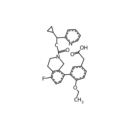 CCOc1ccc(CC(=O)O)cc1-c1ccc(F)c2c1CN(C(=O)CC(c1ccccn1)C1CC1)CC2